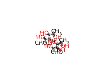 C[C@H](O)[C@@H](O)[C@@H](O)[C@H](O)C=O.C[C@H](O)[C@@H](O)[C@@H](O)[C@H](O)C=O